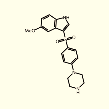 COc1ccc2[nH]cc(S(=O)(=O)c3ccc(N4CCNCC4)cc3)c2c1